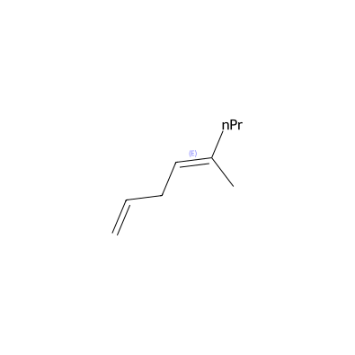 C=CC/C=C(\C)CCC